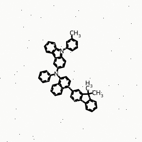 Cc1cccc(-n2c3ccccc3c3cc(N(c4ccccc4)c4ccc(-c5ccc6c(c5)C(C)(C)c5ccccc5-6)c5ccccc45)ccc32)c1